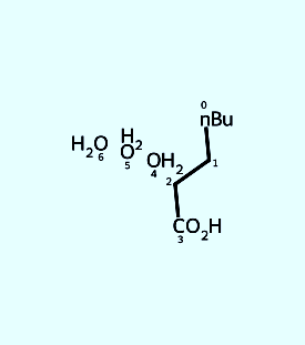 CCCCCCC(=O)O.O.O.O